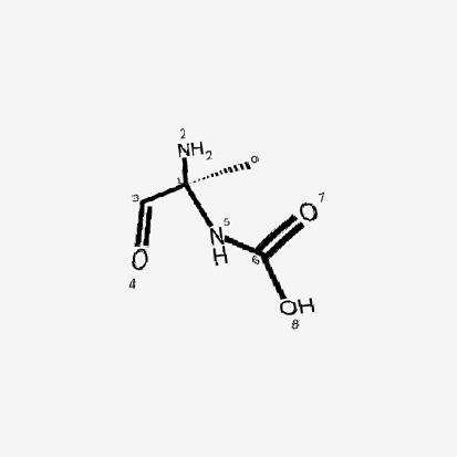 C[C@@](N)(C=O)NC(=O)O